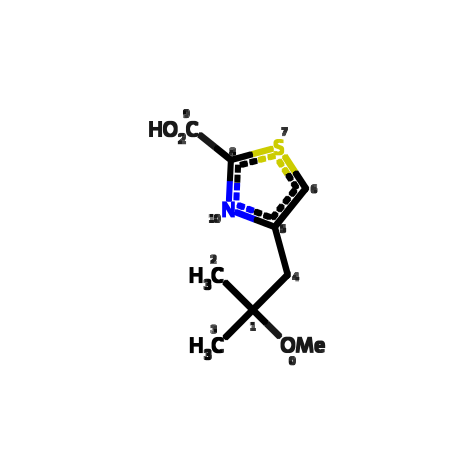 COC(C)(C)Cc1csc(C(=O)O)n1